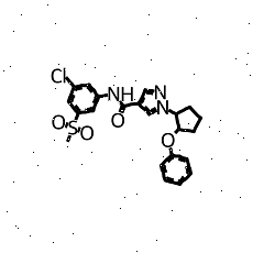 CS(=O)(=O)c1cc(Cl)cc(NC(=O)c2cnn(C3CCCC3Oc3ccccc3)c2)c1